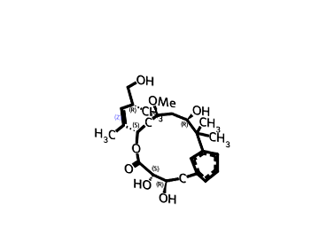 CO[C@@H]1C[C@@H](/C(C)=C\[C@@H](C)CO)OC(=O)[C@@H](O)[C@H](O)Cc2cccc(c2)C(C)(C)[C@H](O)C1